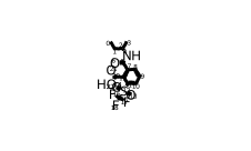 CCC(C)NC(=O)c1cccc(S(=O)(=O)C(F)(F)F)c1C(=O)O